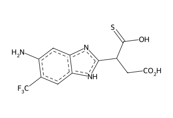 Nc1cc2nc(C(CC(=O)O)C(O)=S)[nH]c2cc1C(F)(F)F